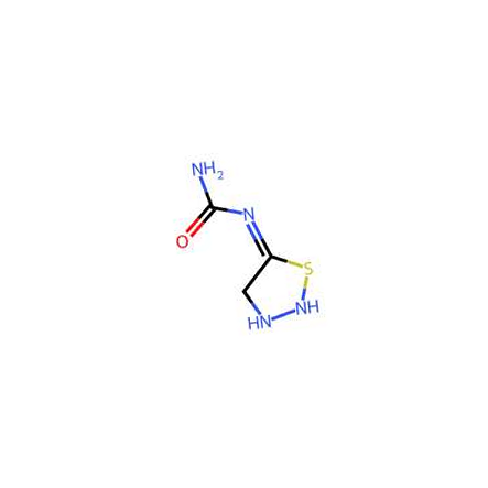 NC(=O)/N=C1\CNNS1